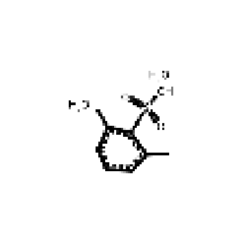 Cc1cccc(C)c1S(=O)(=O)O.O.O